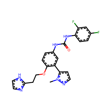 Cn1nccc1-c1cc(NC(=O)Nc2ccc(F)cc2F)ccc1OCCc1ncc[nH]1